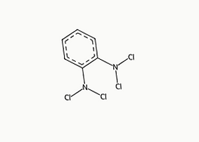 ClN(Cl)c1ccccc1N(Cl)Cl